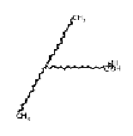 CCCCCCCCCCCCCCCCN(CCCCCCCCCCCCCCCC)CCCCCCCCCCCCCCCCOP(O)O